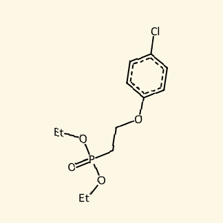 CCOP(=O)(CCOc1ccc(Cl)cc1)OCC